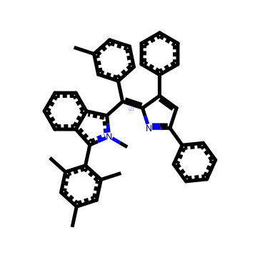 Cc1cccc(/C(=C2/N=C(c3ccccc3)C=C2c2ccccc2)c2c3ccccc3c(-c3c(C)cc(C)cc3C)n2C)c1